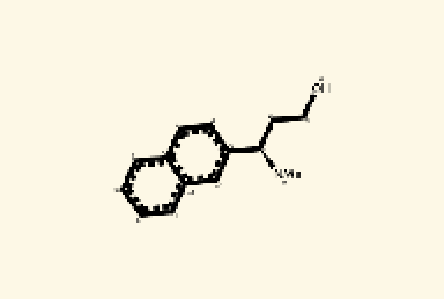 CN[C@H](CCO)c1ccc2ccccc2c1